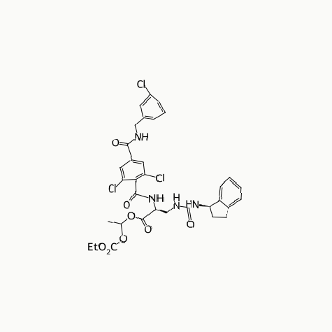 CCOC(=O)OC(C)OC(=O)[C@H](CNC(=O)N[C@@H]1CCc2ccccc21)NC(=O)c1c(Cl)cc(C(=O)NCc2cccc(Cl)c2)cc1Cl